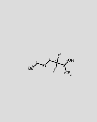 CCC(C)COCC(F)(F)C(O)C(F)(F)F